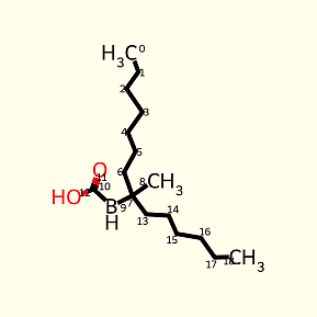 CCCCCCCC(C)(BC(=O)O)CCCCCC